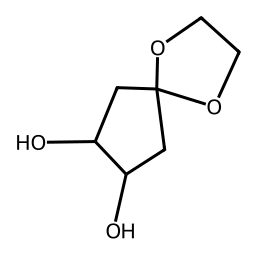 OC1CC2(CC1O)OCCO2